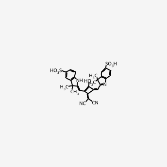 CC1(C)C(C=C2C(O)=C(C=C3Nc4ccc(S(=O)(=O)O)cc4C3(C)C)C2=C(C#N)C#N)=Nc2ccc(S(=O)(=O)O)cc21